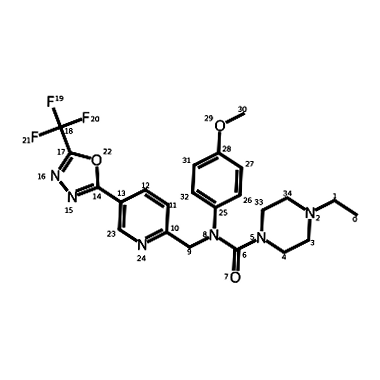 CCN1CCN(C(=O)N(Cc2ccc(-c3nnc(C(F)(F)F)o3)cn2)c2ccc(OC)cc2)CC1